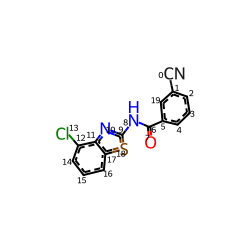 N#Cc1cccc(C(=O)Nc2nc3c(Cl)cccc3s2)c1